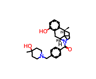 CC1(O)CCN(Cc2ccc(C(=O)N3CC[C@@]4(C)c5cccc(O)c5C[C@@H]3C4(C)C)cc2)CC1